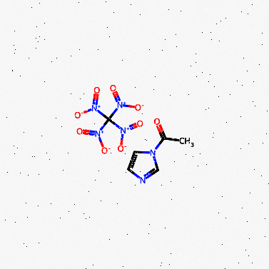 CC(=O)n1ccnc1.O=[N+]([O-])C([N+](=O)[O-])([N+](=O)[O-])[N+](=O)[O-]